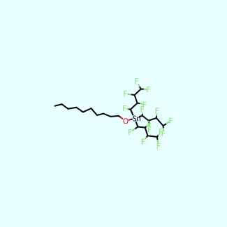 CCCCCCCCCC[O][Sn]([CH](F)C(F)C(F)C(F)F)([CH](F)C(F)C(F)C(F)F)[CH](F)C(F)C(F)C(F)F